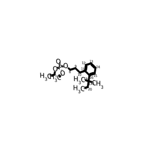 CCOP(=O)(OC)OCCCc1ccccc1C(C)(C)CC